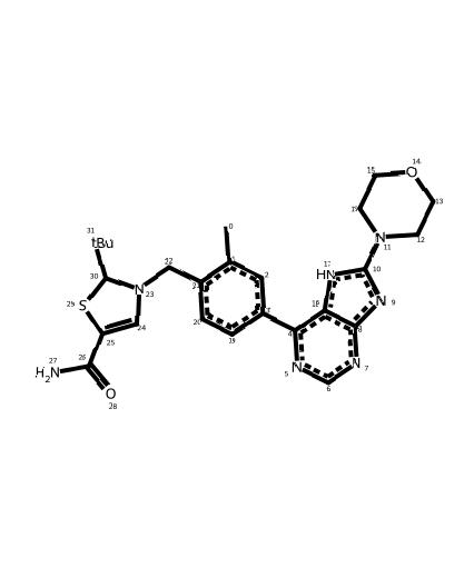 Cc1cc(-c2ncnc3nc(N4CCOCC4)[nH]c23)ccc1CN1C=C(C(N)=O)SC1C(C)(C)C